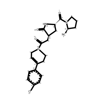 N#C[C@@H]1CCCN1C(=O)[C@@H]1C[C@@H](CC(=O)N2CC=C(c3ccc(Cl)cc3)CC2)C(=O)N1